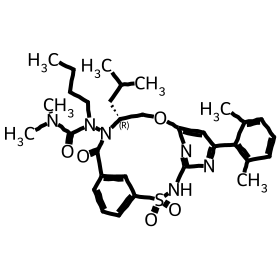 CCCCN(C(=O)N(C)C)N1C(=O)c2cccc(c2)S(=O)(=O)Nc2nc(cc(-c3c(C)cccc3C)n2)OC[C@H]1CC(C)C